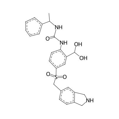 CC(NC(=O)Nc1ccc(S(=O)(=O)Cc2ccc3c(c2)CNC3)cc1C(O)O)c1ccccc1